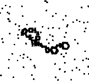 Cc1ccsc1CSCC(=O)NCCCOc1cccc(CN2CCCCC2)c1